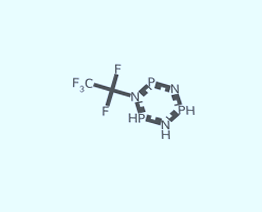 FC(F)(F)C(F)(F)n1pn[pH][nH][pH]1